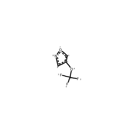 FC(F)(F)Oc1[c]onc1